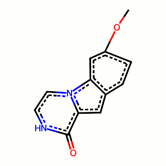 COc1ccc2cc3c(=O)[nH]ccn3c2c1